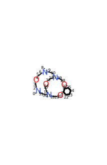 CN1CCOCCN(C)CCN2CCOCCN(CCOc3ccccc3OCC2)CC1